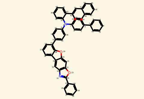 c1ccc(-c2ccc(N(c3ccc(-c4cccc5c4oc4cc6oc(-c7ccccc7)nc6cc45)cc3)c3ccccc3-c3ccc4ccccc4c3)cc2)cc1